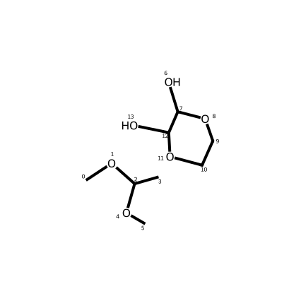 COC(C)OC.OC1OCCOC1O